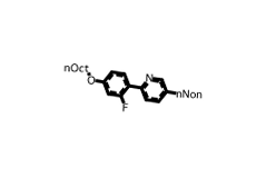 CCCCCCCCCc1ccc(-c2ccc(OCCCCCCCC)cc2F)nc1